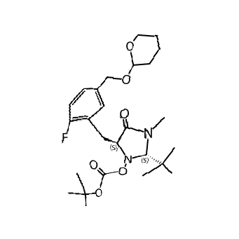 CN1C(=O)[C@H](Cc2cc(COC3CCCCO3)ccc2F)N(OC(=O)OC(C)(C)C)[C@H]1C(C)(C)C